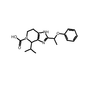 CC(Oc1ccccc1)c1nc2c([nH]1)CCN(C(=O)O)C2C(C)C